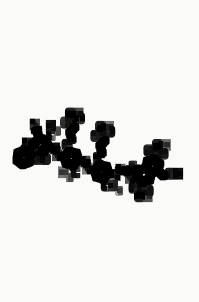 Cc1cc(N=Nc2cc(OCCCS(=O)(=O)O)c(N=Nc3c(C)c(C#N)c4nc5ccccc5n4c3O)cc2C)c(SCCCS(=O)(=O)O)cc1N=Nc1nc2c(S(=O)(=O)O)cc3c(CO)cc(S(=O)(=O)O)cc3c2s1